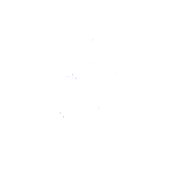 O=C1CC=C2C=CN=C2N1